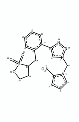 O=[N+]([O-])c1nccn1Cn1cc(-c2ccccc2CC2CCOS2(=O)=O)nn1